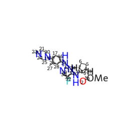 COC(=O)[C@H]1[C@@H]2CC[C@@H](C2)[C@H]1Nc1nc(Nc2ccc(N3CCN(C)CC3)c(C)c2)ncc1F